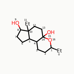 CCC1CCC2C3CCC(O)C3(CC)CCC2(O)O1